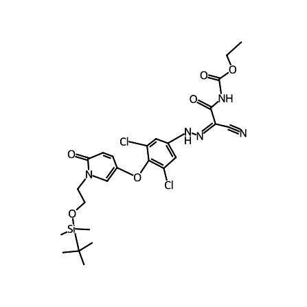 CCOC(=O)NC(=O)C(C#N)=NNc1cc(Cl)c(Oc2ccc(=O)n(CCO[Si](C)(C)C(C)(C)C)c2)c(Cl)c1